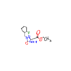 CCOC(=O)c1nn(Cc2ccccc2F)c(=O)[nH]1